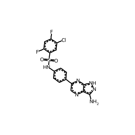 Nc1n[nH]c2nc(-c3ccc(NS(=O)(=O)c4cc(Cl)c(F)cc4F)cc3)cnc12